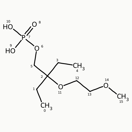 CCC(CC)(COP(=O)(O)O)OCCOC